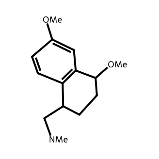 CNCC1CCC(OC)c2cc(OC)ccc21